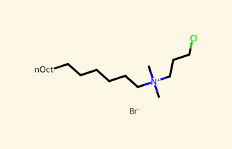 CCCCCCCCCCCCCC[N+](C)(C)CCCCl.[Br-]